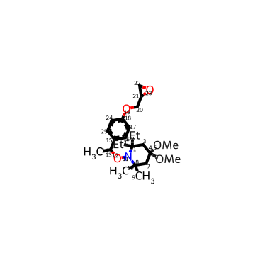 CCC1(CC)CC(OC)(OC)CC(C)(C)N1OC(C)c1ccc(OCC2CO2)cc1